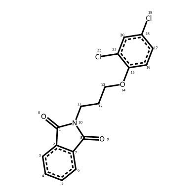 O=C1c2ccccc2C(=O)N1CCCOc1ccc(Cl)cc1Cl